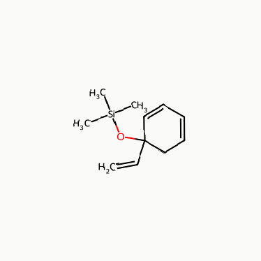 C=CC1(O[Si](C)(C)C)C=CC=CC1